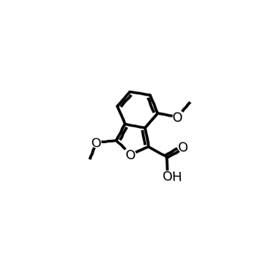 COc1oc(C(=O)O)c2c(OC)cccc12